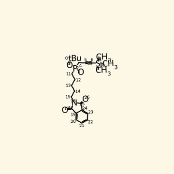 CC(C)(C)OP(=O)(CC#C[Si](C)(C)C)CCCCCN1C(=O)c2ccccc2C1=O